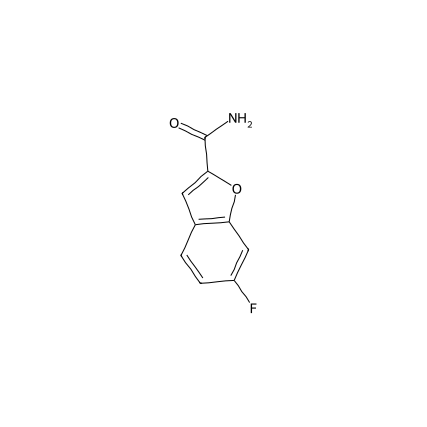 NC(=O)c1cc2ccc(F)cc2o1